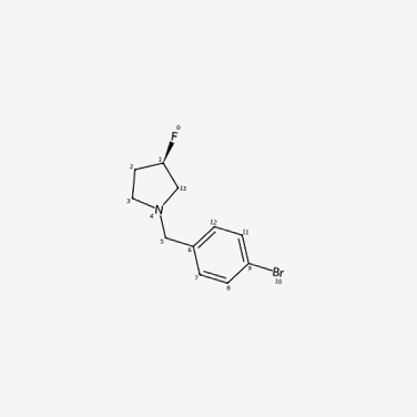 F[C@@H]1CCN(Cc2ccc(Br)cc2)C1